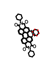 O=C1c2ccc3c4ccc5c6c(cc(N7CCCCC7)c(c7c(N8CCCCC8)cc(c2c37)C(=O)N1C1CCCCC1)c64)C(=O)N(C1CCCCC1)C5=O